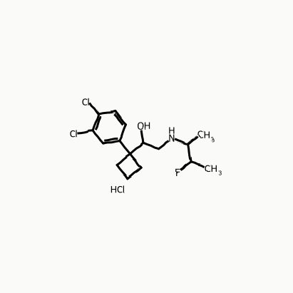 CC(F)C(C)NCC(O)C1(c2ccc(Cl)c(Cl)c2)CCC1.Cl